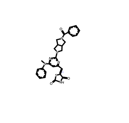 CN(c1ccccc1)c1cc(/C=C2\SC(=O)NC2=O)nc(N2CC3CN(C(=O)c4ccccc4)CC3C2)n1